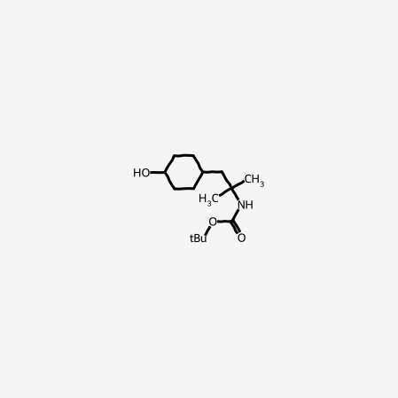 CC(C)(CC1CCC(O)CC1)NC(=O)OC(C)(C)C